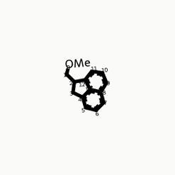 COCC1Cc2cccc3cccc1c23